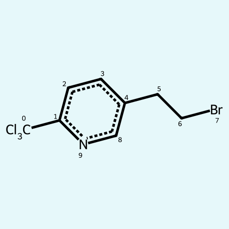 ClC(Cl)(Cl)c1ccc(CCBr)cn1